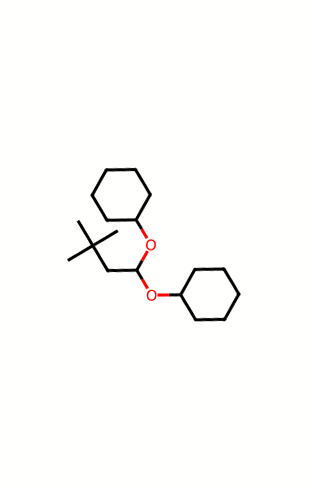 CC(C)(C)CC(OC1CCCCC1)OC1CCCCC1